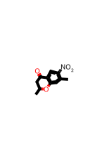 Cc1cc2c(cc1[N+](=O)[O-])C(=O)CC(C)O2